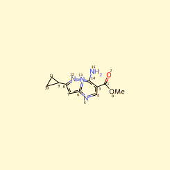 COC(=O)c1cnc2cc(C3CC3)nn2c1N